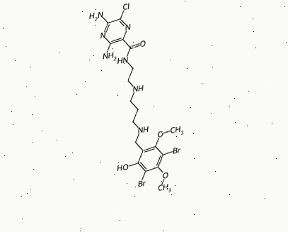 COc1c(Br)c(O)c(CNCCCNCCNC(=O)c2nc(Cl)c(N)nc2N)c(OC)c1Br